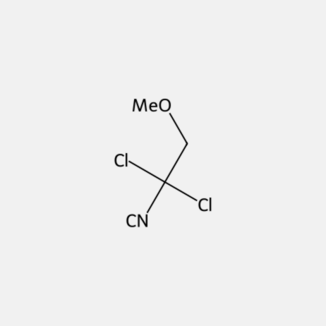 [C-]#[N+]C(Cl)(Cl)COC